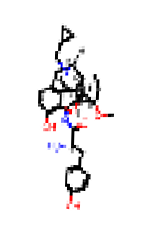 CO[C@]12CC[C@@]3(C[C@@H]1CNC(=O)[C@@H](N)Cc1ccc(O)cc1)[C@H]1Cc4ccc(O)c5c4[C@@]3(CCN1CC1CC1)[C@H]2O5